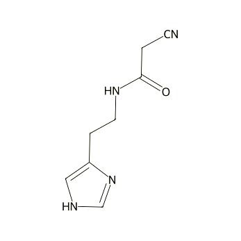 N#CCC(=O)NCCc1c[nH]cn1